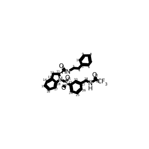 O=C(NCCc1ccccc1)[C@@H]1Cc2ccccc2N1S(=O)(=O)c1cccc(CNC(=O)C(F)(F)F)c1